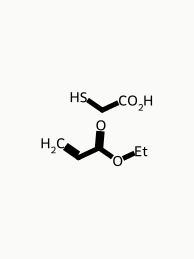 C=CC(=O)OCC.O=C(O)CS